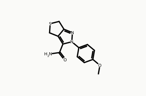 COc1ccc(-n2nc3c(c2C(N)=O)CSC3)cc1